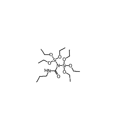 CCCNC(=O)N([Si](OCC)(OCC)OCC)[Si](OCC)(OCC)OCC